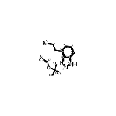 BrCCc1cccc2[nH]nnc12.CC(C)(C)OC=O